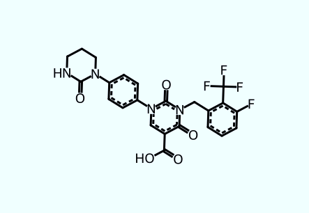 O=C(O)c1cn(-c2ccc(N3CCCNC3=O)cc2)c(=O)n(Cc2cccc(F)c2C(F)(F)F)c1=O